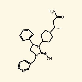 C[C@@H](CC(N)=O)N1CCC(N2C(=NC#N)N(Cc3cccnc3)C[C@H]2c2ccccc2)CC1